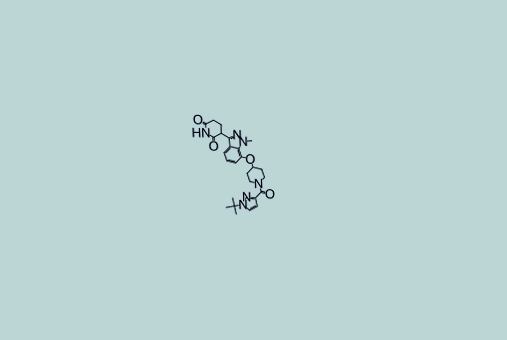 Cn1nc(C2CCC(=O)NC2=O)c2cccc(OC3CCN(C(=O)c4ccn(C(C)(C)C)n4)CC3)c21